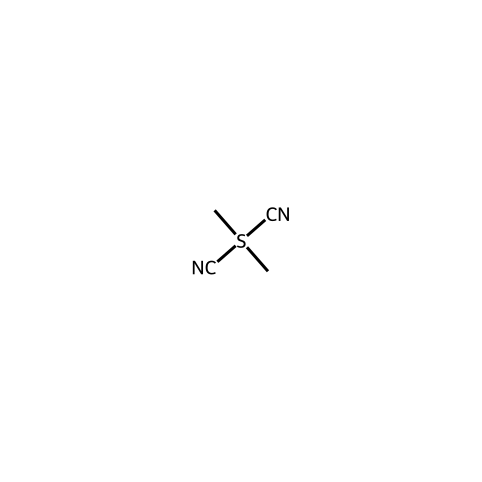 CS(C)(C#N)C#N